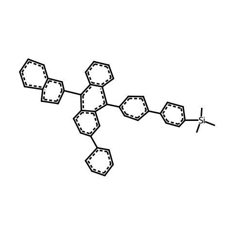 C[Si](C)(C)c1ccc(-c2ccc(-c3c4ccccc4c(-c4ccc5ccccc5c4)c4ccc(-c5ccccc5)cc34)cc2)cc1